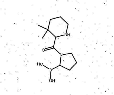 CC1(C)CCCNC1C(=O)N1CCCC1B(O)O